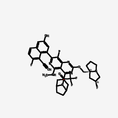 C#Cc1c(F)ccc2cc(O)cc(-c3nc(NC)c4c(C5CC6CCC(C5)N6C(=O)C(F)(F)F)nc(OC[C@]56CCCN5C[C@@H](F)C6)nc4c3F)c12